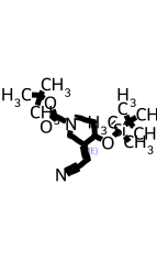 CC(C)(C)OC(=O)N1CCC(O[Si](C)(C)C(C)(C)C)/C(=C/C#N)C1